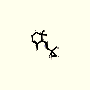 CC1=CCCC(C)(C)C1/C=C/C1(C)CO1